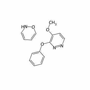 C1=CNOC=C1.COc1ccnnc1Oc1ccccc1